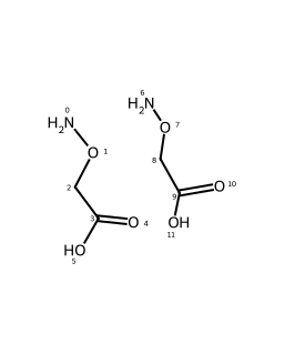 NOCC(=O)O.NOCC(=O)O